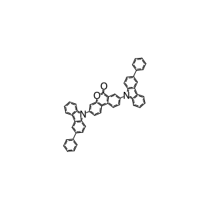 O=c1oc2cc(-n3c4ccccc4c4cc(-c5ccccc5)ccc43)ccc2c2ccc(-n3c4ccccc4c4cc(-c5ccccc5)ccc43)cc12